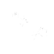 Nc1ccc(N2CCC(Cc3ccc(F)c4cccnc34)CC2)c(Cl)c1